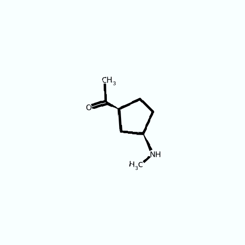 CN[C@@H]1CC[C@H](C(C)=O)C1